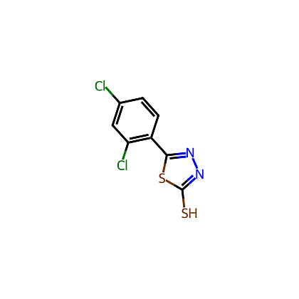 Sc1nnc(-c2ccc(Cl)cc2Cl)s1